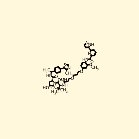 COc1cc(OCCCOCCC(O)N[C@H](C(=O)N2C[C@H](O)C[C@H]2C(=O)N[C@@H](C)c2ccc(-c3scnc3C)cc2)C(C)(C)C)ccc1NC(=O)c1cccc(-c2ccn[nH]2)n1